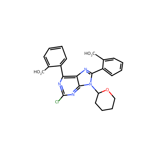 O=C(O)c1ccccc1-c1nc(Cl)nc2c1nc(-c1ccccc1C(=O)O)n2C1CCCCO1